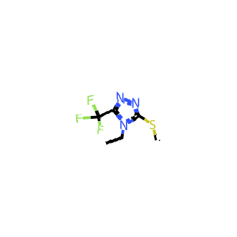 [CH2]Sc1nnc(C(F)(F)F)n1CC